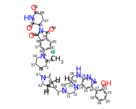 C[C@@H]1C[C@H](CN2C[C@@H]3C(CN4CCN5c6cc(-c7ccccc7O)nnc6NC[C@H]5C4)[C@@H]3C2)CCN1c1cc2c(cc1F)C(=O)N(C1CCC(=O)NC1=O)C2=O